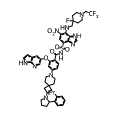 CC(C)c1ccccc1C1CCCN1C1CC2(CCN(c3ccc(C(=O)NS(=O)(=O)c4cc([N+](=O)[O-])c(NCC5(F)CCN(CC(F)(F)F)CC5)c5[nH]cnc45)c(Oc4cnc5[nH]ccc5c4)c3)CC2)C1